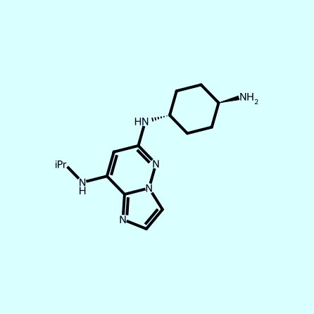 CC(C)Nc1cc(N[C@H]2CC[C@H](N)CC2)nn2ccnc12